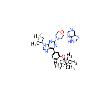 CCC(C)n1cnc2c(-c3cccc(O[Si](C)(C)C(C)(C)C)c3)nc(N3CCOCC3)nc21.c1ncc2nc[nH]c2n1